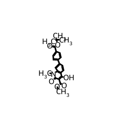 COC(=O)c1c(O)c2ccc(-c3ccc(C(=O)OC(C)(C)C)cc3)cc2n(C)c1=O